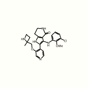 COc1c(Cl)cccc1Nc1c(-c2ccncc2OCC2(C)CCN2)[nH]c2c1C(=O)NCC2